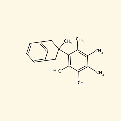 Cc1c(C)c(C)c(C2(C)Cc3cccc(c3)C2)c(C)c1C